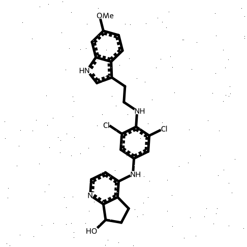 COc1ccc2c(CCNc3c(Cl)cc(Nc4ccnc5c4CCC5O)cc3Cl)c[nH]c2c1